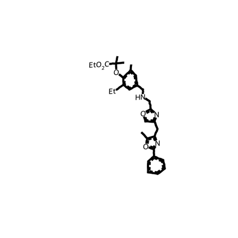 CCOC(=O)C(C)(C)Oc1c(C)cc(CNCc2nc(Cc3nc(-c4ccccc4)oc3C)co2)cc1CC